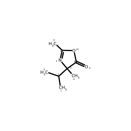 CC1=NC(C)(C(C)C)C(=O)O1